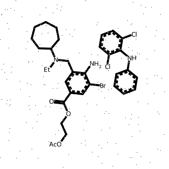 CCN(Cc1cc(C(=O)OCCOC(C)=O)cc(Br)c1N)C1CCCCCC1.Clc1cccc(Cl)c1Nc1ccccc1